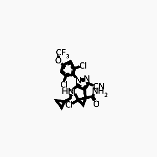 N#Cc1nn(-c2c(Cl)cc(OC(F)(F)F)cc2Cl)c(NCC2CC2)c1C1(C(N)=O)CC1(Cl)Cl